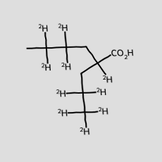 [2H]C(CC([2H])([2H])C([2H])([2H])[2H])(CC([2H])([2H])C([2H])([2H])C)C(=O)O